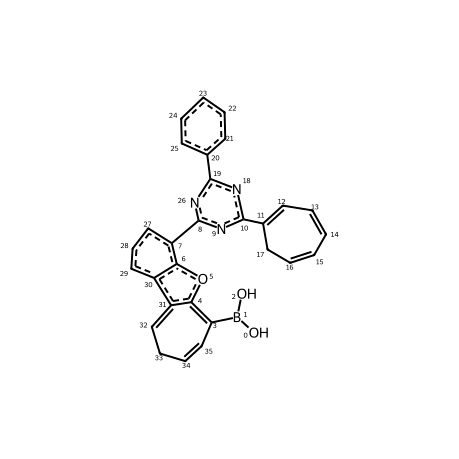 OB(O)C1=c2oc3c(-c4nc(C5=CC=CC=CC5)nc(-c5ccccc5)n4)cccc3c2=CCC=C1